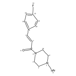 CCCN1CCN(C(=O)C=Cc2ccc(F)cc2)CC1